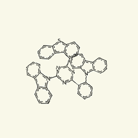 c1ccc(-n2c3ccccc3c3ccccc32)c(-c2nc(-c3cccc4sc5ccccc5c34)nc(-n3c4ccccc4c4ccccc43)n2)c1